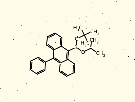 CC(C)OB(OC(C)(C)C)c1c2ccccc2c(-c2ccccc2)c2ccccc12